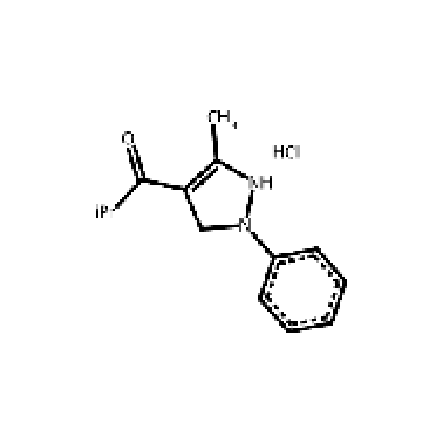 CC1=C(C(=O)C(C)C)CN(c2ccccc2)N1.Cl